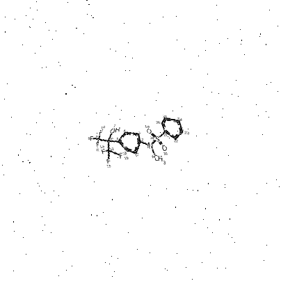 CN(c1ccc(C(O)(C(F)(F)F)C(F)(F)F)cc1)S(=O)(=O)c1ccccc1